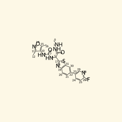 CNNC(=O)C(NC(=O)Nc1c(C)noc1C)c1nc2ccc(-c3ccc(F)nc3)cc2s1